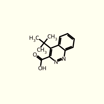 CC(C)(C)c1c(C(=O)O)nnc2ccccc12